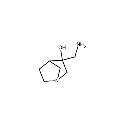 NCC1(O)CN2CCC1C2